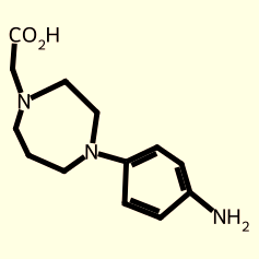 Nc1ccc(N2CCCN(CC(=O)O)CC2)cc1